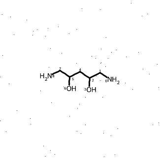 NCC(O)CC(O)CN